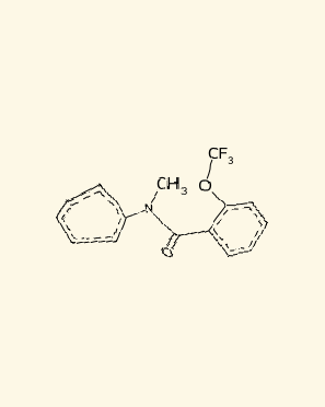 CN(C(=O)c1ccccc1OC(F)(F)F)c1ccccc1